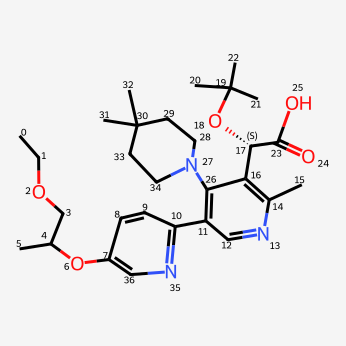 CCOCC(C)Oc1ccc(-c2cnc(C)c([C@H](OC(C)(C)C)C(=O)O)c2N2CCC(C)(C)CC2)nc1